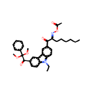 CCCCCC/C(=N\OC(C)=O)C(=O)c1ccc2c(c1)c1cc(C(=O)C(OC)(OC)c3ccccc3)ccc1n2CC